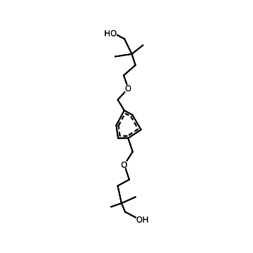 CC(C)(CO)CCOCc1ccc(COCCC(C)(C)CO)cc1